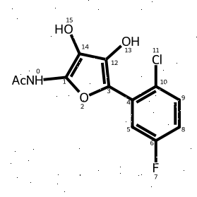 CC(=O)Nc1oc(-c2cc(F)ccc2Cl)c(O)c1O